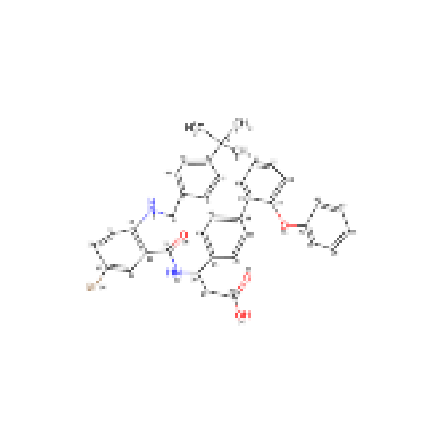 CC(C)(C)c1ccc(CNc2ccc(Br)cc2C(=O)NC(CC(=O)O)c2ccc(-c3ccccc3Oc3ccccc3)cc2)cc1